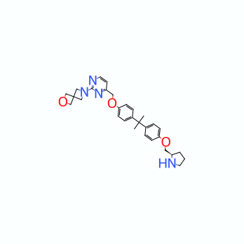 CC(C)(c1ccc(OCc2ccnc(N3CC4(COC4)C3)n2)cc1)c1ccc(OC[C@H]2CCCN2)cc1